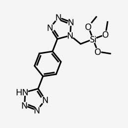 CO[Si](Cn1nnnc1-c1ccc(-c2nnn[nH]2)cc1)(OC)OC